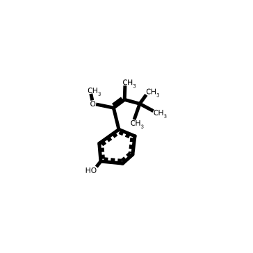 COC(=C(C)C(C)(C)C)c1cccc(O)c1